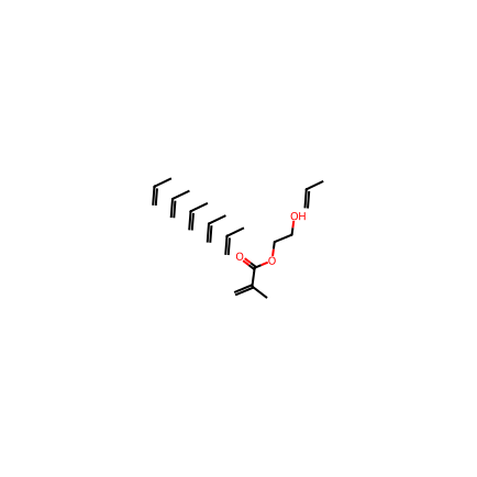 C=C(C)C(=O)OCCO.C=CC.C=CC.C=CC.C=CC.C=CC.C=CC